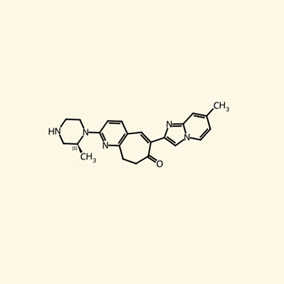 Cc1ccn2cc(C3=Cc4ccc(N5CCNC[C@@H]5C)nc4CCC3=O)nc2c1